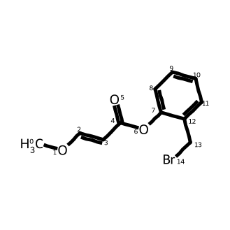 COC=CC(=O)Oc1ccccc1CBr